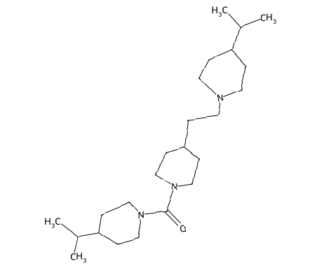 CC(C)C1CCN(CCC2CCN(C(=O)N3CCC(C(C)C)CC3)CC2)CC1